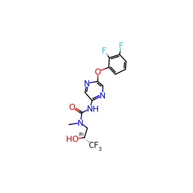 CN(C[C@@H](O)C(F)(F)F)C(=O)Nc1cnc(Oc2cccc(F)c2F)cn1